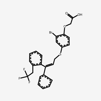 O=C(O)COc1ccc(SCC=C(c2ccccc2)c2ccccc2CC(F)(F)F)cc1Br